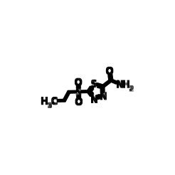 CCCS(=O)(=O)c1nnc(C(N)=O)s1